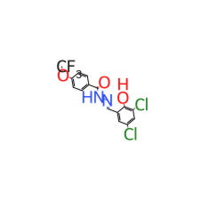 O=C(N/N=C/c1cc(Cl)cc(Cl)c1O)c1ccc(OC(F)(F)F)cc1